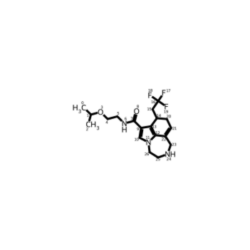 CC(C)OCCNC(=O)c1cn2c3c1C(CC(F)(F)F)CC=C3CNCC2